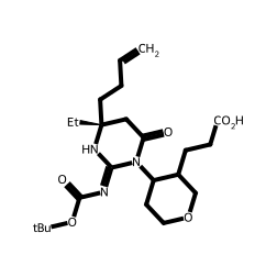 C=CCC[C@]1(CC)CC(=O)N(C2CCOCC2CCC(=O)O)/C(=N/C(=O)OC(C)(C)C)N1